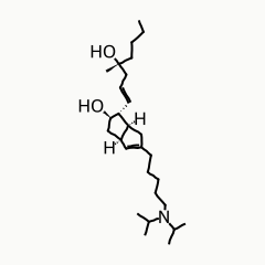 CCCC[C@@](C)(O)C/C=C/[C@@H]1[C@H]2CC(CCCCCN(C(C)C)C(C)C)=C[C@H]2C[C@H]1O